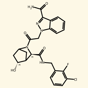 NC(=O)c1nn(CC(=O)N2C3CC([C@H](O)C3)[C@@H]2C(=O)NCc2cccc(Cl)c2F)c2ccccc12